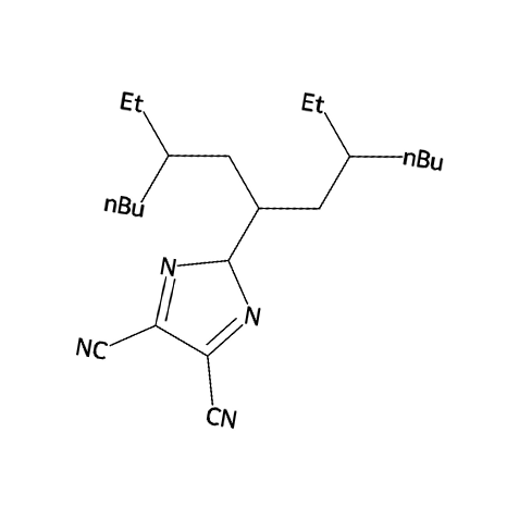 CCCCC(CC)CC(CC(CC)CCCC)C1N=C(C#N)C(C#N)=N1